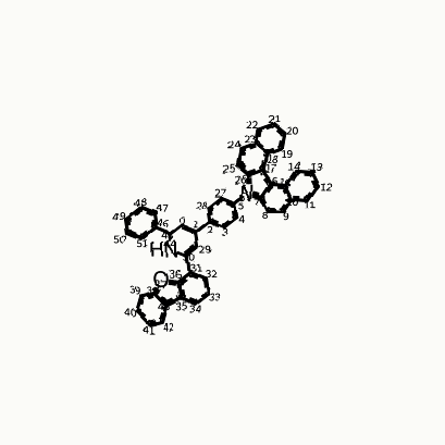 C1=C(c2ccc(-n3c4ccc5ccccc5c4c4c5ccccc5ccc43)cc2)C=C(c2cccc3c2oc2ccccc23)NC1c1ccccc1